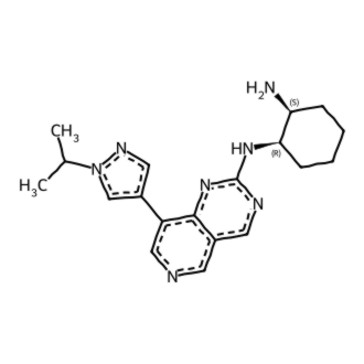 CC(C)n1cc(-c2cncc3cnc(N[C@@H]4CCCC[C@@H]4N)nc23)cn1